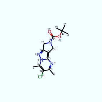 Cc1nc2c3c(nn2c(C)c1Cl)CN(C(=O)OC(C)(C)C)C3